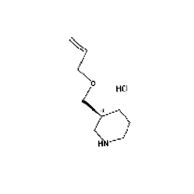 C=CCOC[C@H]1CCCNC1.Cl